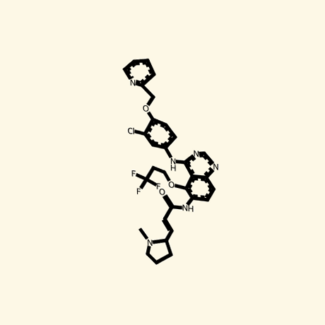 CN1CCCC1/C=C/C(=O)Nc1ccc2ncnc(Nc3ccc(OCc4ccccn4)c(Cl)c3)c2c1OCCC(F)(F)F